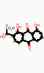 O=C1c2cccc(O)c2C(=O)c2c1ccc(C(O)C(=O)O)c2O